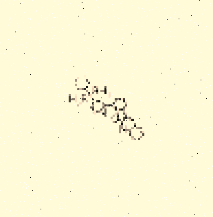 BC(B)(c1ccnc(-c2cccc3c2oc2nc4ccccc4cc23)c1)C1CCCCC1